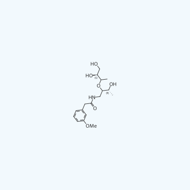 COc1cccc(CC(=O)NCC(OC(C)[C@@H](O)CO)[C@@H](C)O)c1